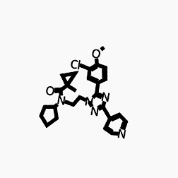 COc1ccc(-c2nc(-c3ccncc3)nn2CCN(C(=O)C2(C)CC2)C2CCCC2)cc1Cl